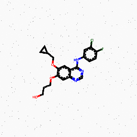 OCCCOc1cc2ncnc(Nc3ccc(F)c(Cl)c3)c2cc1OCC1CC1